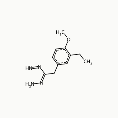 CCc1cc(C/C(N=N)=N/N)ccc1OC